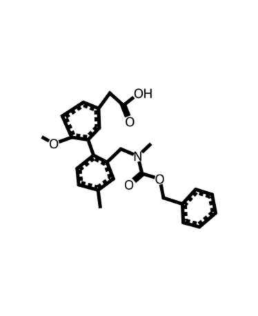 COc1ccc(CC(=O)O)cc1-c1ccc(C)cc1CN(C)C(=O)OCc1ccccc1